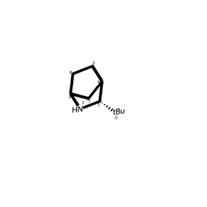 CC(C)(C)[C@@H]1NC2CCC1C2